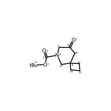 CC(C)(C)OC(=O)N1CC(=O)CC2(CCC2)C1